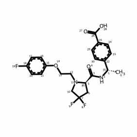 C[C@H](NC(=O)[C@H]1CC(F)(F)CN1CCOc1ccc(F)cc1)c1ccc(C(=O)O)cc1